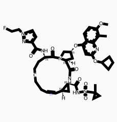 COc1ccc2c(O[C@@H]3C[C@H]4C(=O)N[C@]5(C(=O)NS(=O)(=O)C6(C)CC6)C[C@H]5/C=C\CCCCC[C@H](NC(=O)c5ccn(CCF)n5)C(=O)N4C3)cc(OC3CCC3)nc2c1C